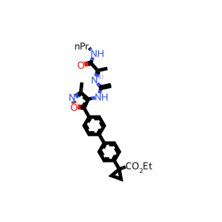 C=C(/N=C(\C)C(=O)NCCC)Nc1c(C)noc1-c1ccc(-c2ccc(C3(C(=O)OCC)CC3)cc2)cc1